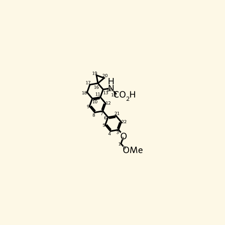 COCOc1ccc(-c2ccc3c(c2)C(NC(=O)O)C2(CC3)CC2)cc1